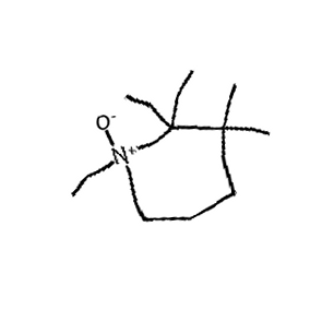 CC1(C)CCC[N+](C)([O-])C1(C)C